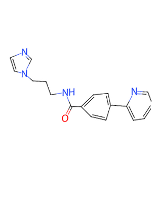 O=C(NCCCn1ccnc1)c1ccc(-c2ccccn2)cc1